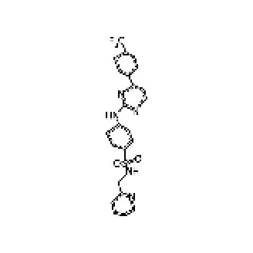 O=S(=O)(NCc1ccccn1)c1ccc(Nc2nccc(-c3ccc(C(F)(F)F)cc3)n2)cc1